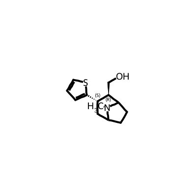 CN1C2CCC1[C@H](CO)[C@@H](c1cccs1)C2